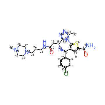 Cc1c(C(N)=O)sc2c1C(c1ccc(Cl)cc1)=N[C@@H](CC(=O)NCCCN1CCN(C)CC1)c1nnc(C)n1-2